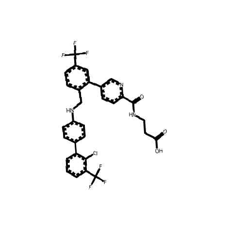 O=C(O)CCNC(=O)c1ccc(-c2cc(C(F)(F)F)ccc2CNc2ccc(-c3cccc(C(F)(F)F)c3Cl)cc2)cn1